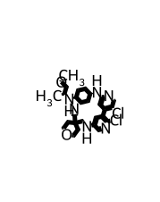 COC[C@H](C)N[C@H]1CC[C@H](Nc2cc(-c3cc(NCC4(C#N)CCOCC4)cnc3Cl)c(Cl)cn2)CC1